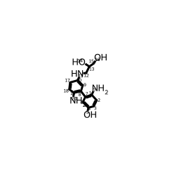 Nc1ccc(O)cc1-c1cc(NCC(O)CO)ccc1N